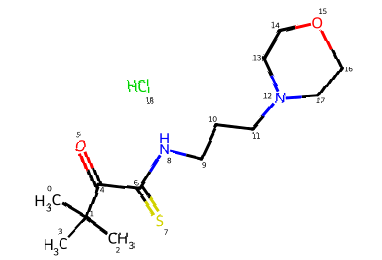 CC(C)(C)C(=O)C(=S)NCCCN1CCOCC1.Cl